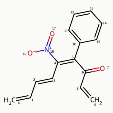 C=CC=CC(=C(C(=O)C=C)c1ccccc1)[N+](=O)[O-]